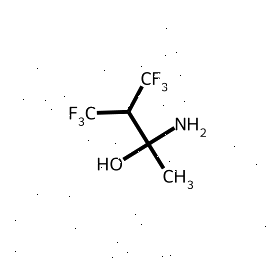 CC(N)(O)C(C(F)(F)F)C(F)(F)F